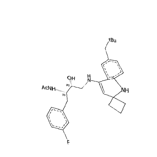 CC(=O)N[C@@H](Cc1cccc(F)c1)[C@H](O)CNC1=CC2(CCC2)Nc2ccc(CC(C)(C)C)cc21